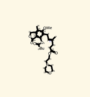 CCC(C)C(=O)Oc1c(C/C=C(\C)CCC(=O)OCCN2CCOCC2)c(OC)c(C)c2c1C(=O)OC2